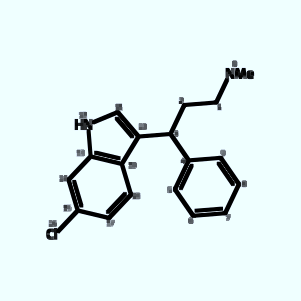 CNCCC(c1ccccc1)c1c[nH]c2cc(Cl)ccc12